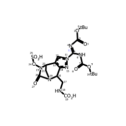 CC(C)(C)OC(=O)/N=C(\NC(=O)OC(C)(C)C)n1cc2c(n1)C(CNC(=O)O)N1CC2N(OS(=O)(=O)O)C1=O